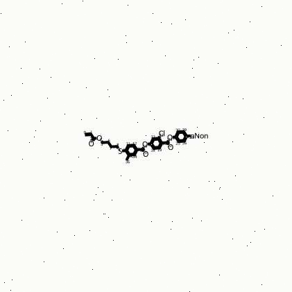 C=CC(=O)OCCCCSc1ccc(C(=O)Oc2ccc(C(=O)Oc3ccc(CCCCCCCCC)cc3)c(Cl)c2)cc1C